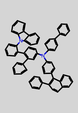 c1ccc(-c2ccc(N(c3ccc(-c4c(-c5ccccc5)ccc5ccccc45)cc3)c3ccc(-c4ccccc4-n4c5ccccc5c5ccccc54)c(-c4ccccc4)c3)cc2)cc1